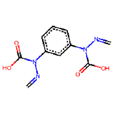 C=NN(C(=O)O)c1cccc(N(N=C)C(=O)O)c1